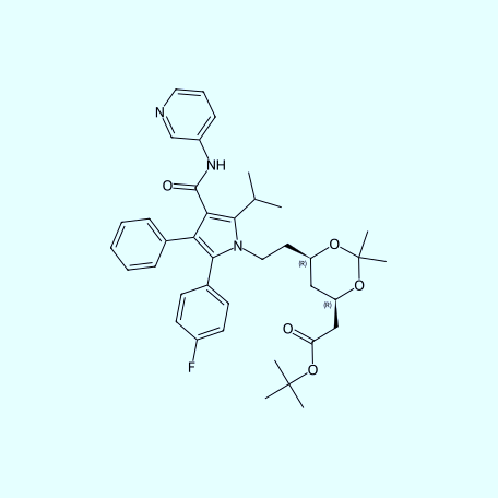 CC(C)c1c(C(=O)Nc2cccnc2)c(-c2ccccc2)c(-c2ccc(F)cc2)n1CC[C@@H]1C[C@H](CC(=O)OC(C)(C)C)OC(C)(C)O1